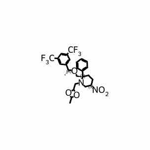 CC1OC(CN2C[C@@H]([N+](=O)[O-])CC[C@@]2(CO[C@H](C)c2cc(C(F)(F)F)cc(C(F)(F)F)c2)c2ccccc2)O1